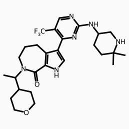 CC(C1CCOCC1)N1CCCc2c(-c3nc(NC4CCC(C)(C)NC4)ncc3C(F)(F)F)c[nH]c2C1=O